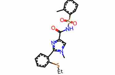 CCSc1ccccc1-c1nc(C(=O)NS(=O)(=O)c2ccccc2C)cn1C